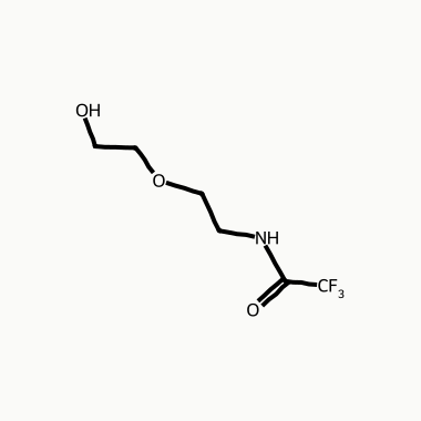 O=C(NCCOCCO)C(F)(F)F